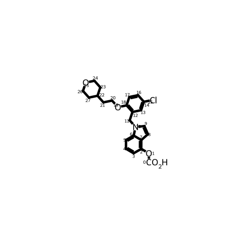 O=C(O)Oc1cccc2c1ccn2Cc1cc(Cl)ccc1OCCC1CCOCC1